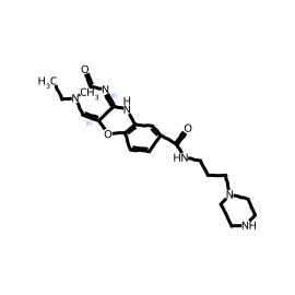 CCN(C)/C=C1/Oc2ccc(C(=O)NCCCN3CCNCC3)cc2N/C1=N/C=O